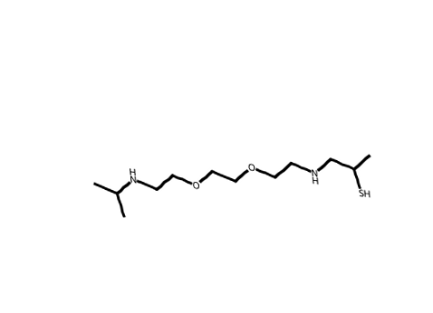 CC(S)CNCCOCCOCCNC(C)C